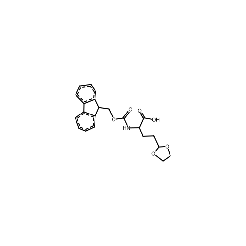 O=C(NC(CCC1OCCO1)C(=O)O)OCC1c2ccccc2-c2ccccc21